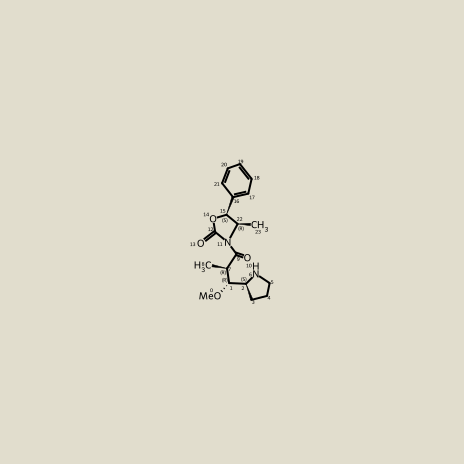 CO[C@@H]([C@@H]1CCCN1)[C@@H](C)C(=O)N1C(=O)O[C@@H](c2ccccc2)[C@H]1C